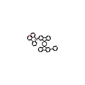 c1ccc(-c2ccc3c(c2)C2(CCC4(CC2)c2ccccc2-c2ccc(N(c5ccccc5)c5ccccc5-c5ccccc5)cc24)c2ccccc2-3)cc1